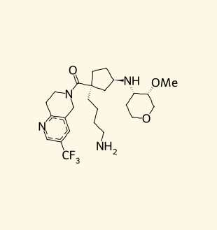 CO[C@@H]1COCC[C@@H]1N[C@@H]1CC[C@](CCCCN)(C(=O)N2CCc3ncc(C(F)(F)F)cc3C2)C1